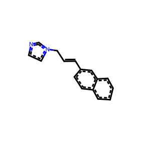 C(=C\c1ccc2ccccc2c1)/Cn1ccnc1